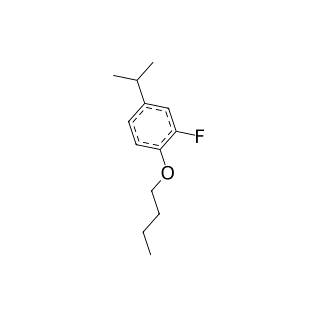 CCCCOc1ccc(C(C)C)cc1F